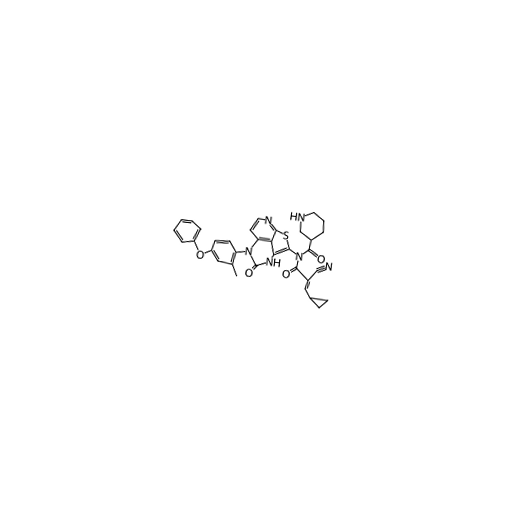 Cc1cc(Oc2ccccc2)ccc1N1C(=O)Nc2c(N(C(=O)/C(C#N)=C/C3CC3)C(=O)C3CCCNC3)sc3nccc1c23